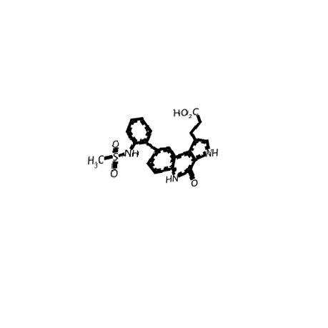 CS(=O)(=O)Nc1ccccc1-c1ccc2[nH]c(=O)c3[nH]cc(CCC(=O)O)c3c2c1